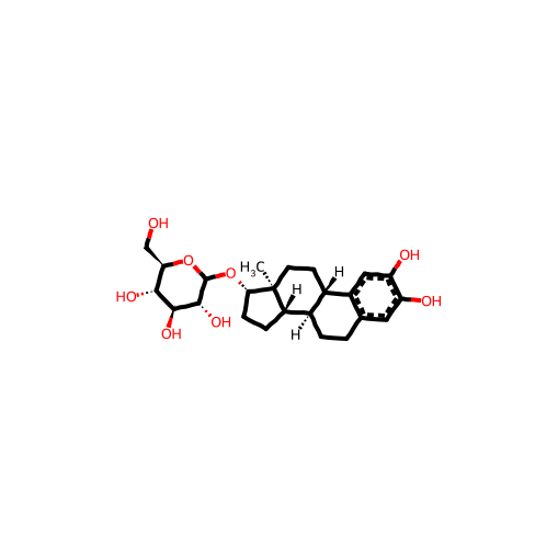 C[C@]12CC[C@@H]3c4cc(O)c(O)cc4CC[C@H]3[C@@H]1CC[C@@H]2OC1O[C@H](CO)[C@@H](O)[C@H](O)[C@H]1O